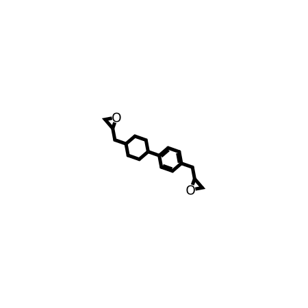 c1cc(C2CCC(CC3CO3)CC2)ccc1CC1CO1